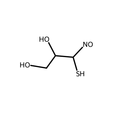 O=NC(S)C(O)CO